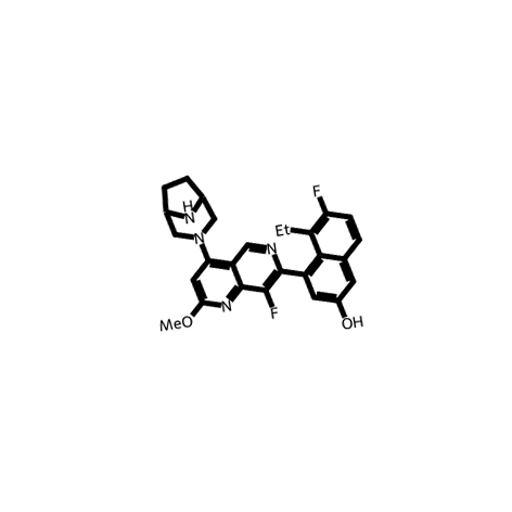 CCc1c(F)ccc2cc(O)cc(-c3ncc4c(N5CC6CCC(C5)N6)cc(OC)nc4c3F)c12